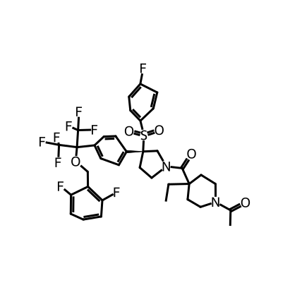 CCC1(C(=O)N2CC[C@](c3ccc(C(OCc4c(F)cccc4F)(C(F)(F)F)C(F)(F)F)cc3)(S(=O)(=O)c3ccc(F)cc3)C2)CCN(C(C)=O)CC1